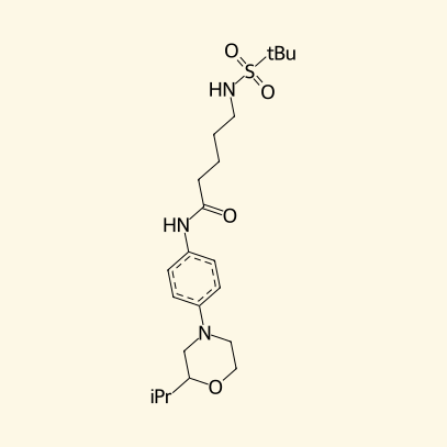 CC(C)C1CN(c2ccc(NC(=O)CCCCNS(=O)(=O)C(C)(C)C)cc2)CCO1